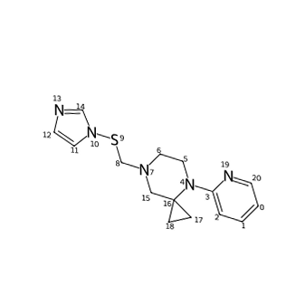 c1ccc(N2CCN(CSn3ccnc3)CC23CC3)nc1